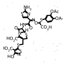 CC(=O)Oc1ccc(SC(O/N=C(\C(=O)N[C@@H]2C(=O)N3C(C(=O)O)=C(CSc4snc(O)c4C(=O)O)CS[C@@H]23)c2csc(N)n2)C(=O)O)cc1OC(C)=O